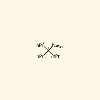 C=NC(CCC)(CCC)CCC